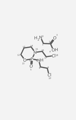 NCC(=O)O.O=P1(NCCCl)OCCCN1CCCl